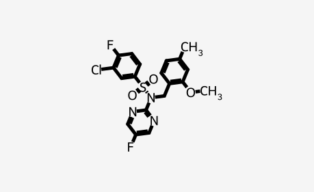 COc1cc(C)ccc1CN(c1ncc(F)cn1)S(=O)(=O)c1ccc(F)c(Cl)c1